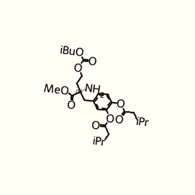 COC(=O)[C@@](N)(CCOC(=O)OCC(C)C)Cc1ccc(OC(=O)CC(C)C)c(OC(=O)CC(C)C)c1